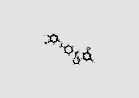 N#Cc1cc(F)cc([C@@H]2CCON2C(=O)[C@H]2CC[C@H](COc3ccc(F)c(C#N)c3)CC2)c1